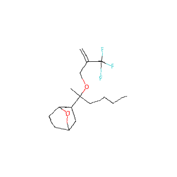 C=C(COC(C)(CCCC)C1CC2CCC1O2)C(F)(F)F